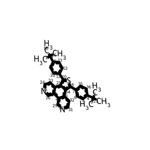 CC(C)(C)c1ccc(-c2sc(-c3ccc(C(C)(C)C)cc3)c3c4ccncc4c4cnccc4c23)cc1